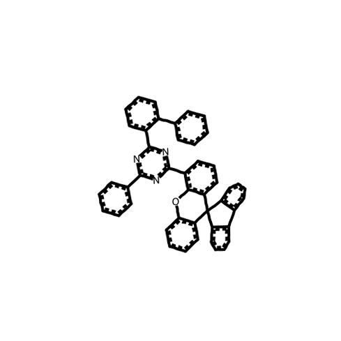 c1ccc(-c2nc(-c3ccccc3-c3ccccc3)nc(-c3cccc4c3Oc3ccccc3C43c4ccccc4-c4ccccc43)n2)cc1